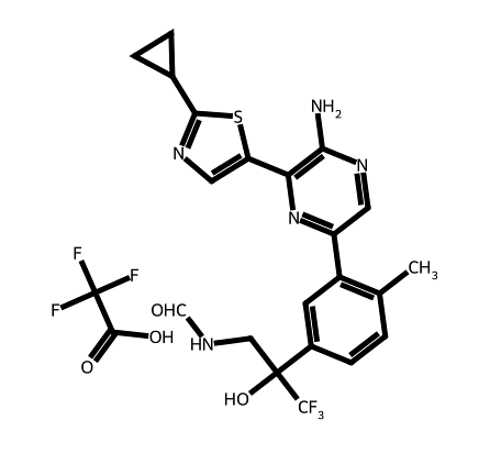 Cc1ccc(C(O)(CNC=O)C(F)(F)F)cc1-c1cnc(N)c(-c2cnc(C3CC3)s2)n1.O=C(O)C(F)(F)F